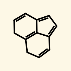 [C]1=C2C=CCC3=C2C(=C1)C=CC3